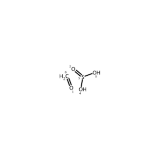 C=O.O=S(O)O